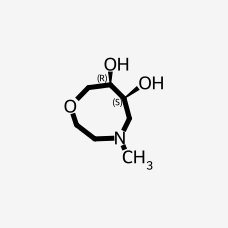 CN1CCOC[C@@H](O)[C@@H](O)C1